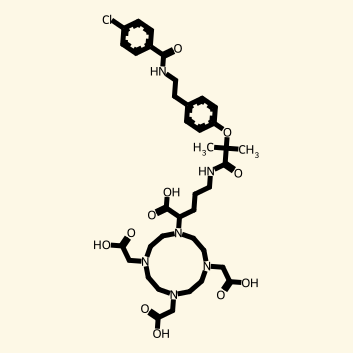 CC(C)(Oc1ccc(CCNC(=O)c2ccc(Cl)cc2)cc1)C(=O)NCCCC(C(=O)O)N1CCN(CC(=O)O)CCN(CC(=O)O)CCN(CC(=O)O)CC1